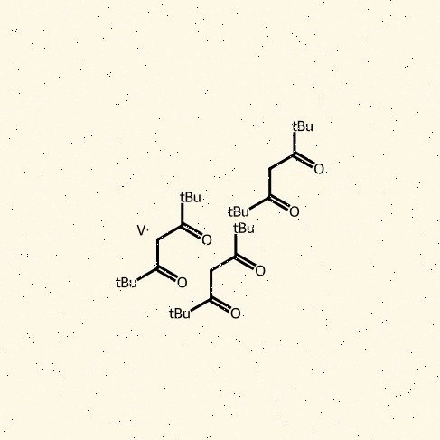 CC(C)(C)C(=O)CC(=O)C(C)(C)C.CC(C)(C)C(=O)CC(=O)C(C)(C)C.CC(C)(C)C(=O)CC(=O)C(C)(C)C.[V]